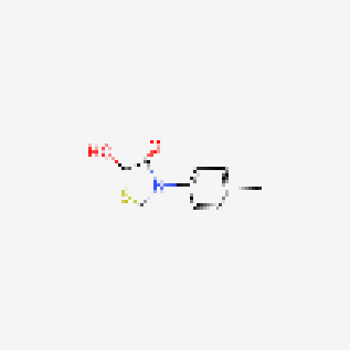 Cc1ccc(N2CSC(O)C2=O)cc1